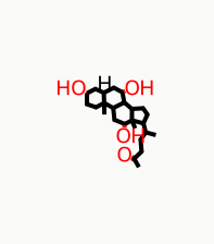 CC(=O)CCC(C)C1CCC2C3C(O)C[C@H]4CC(O)CCC4(C)C3CC(O)C12C